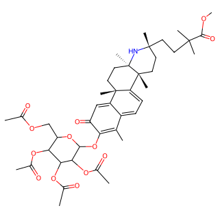 COC(=O)C(C)(C)CC[C@]1(C)CC[C@]2(C)C3=CC=C4C(=CC(=O)C(OC5OC(COC(C)=O)C(OC(C)=O)C(OC(C)=O)C5OC(C)=O)=C4C)[C@]3(C)CC[C@@]2(C)N1